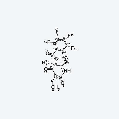 CCN1C(=O)NC(=O)C(C)(N2C(=O)c3c(F)c(F)c(F)c(F)c3C2=O)C1=O